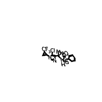 COc1ccccc1S(=O)(=O)NC(=O)c1ncn(C2CC2C(F)(F)F)c1Cl